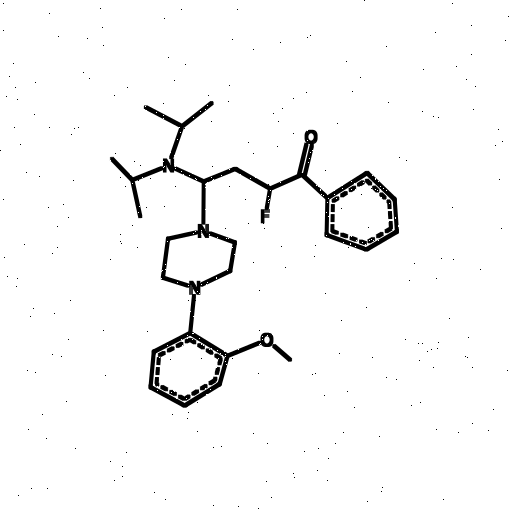 COc1ccccc1N1CCN(C(CC(F)C(=O)c2ccccc2)N(C(C)C)C(C)C)CC1